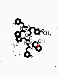 COc1cccc(Cc2nc3c(Cc4cccc(F)c4)nc(-c4ccccc4)cn3c2CC(=O)Oc2c(Cc3cccc(C)c3)nc3c(Cc4cccc(F)c4)nc(-c4ccccc4)c(CC(=O)O)n23)c1